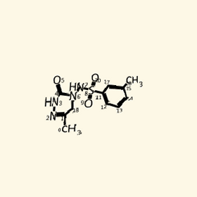 CC1=NNC(=O)N(NS(=O)(=O)c2cccc(C)c2)C1